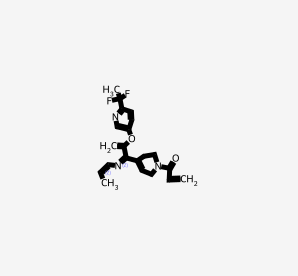 C=CC(=O)N1CC=C(/C(=N/C=C\C)C(=C)Oc2ccc(C(C)(F)F)nc2)CC1